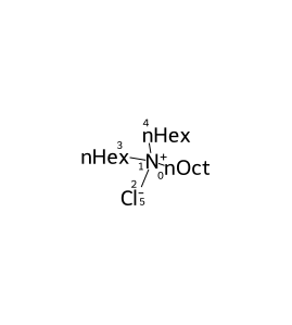 CCCCCCCC[N+](C)(CCCCCC)CCCCCC.[Cl-]